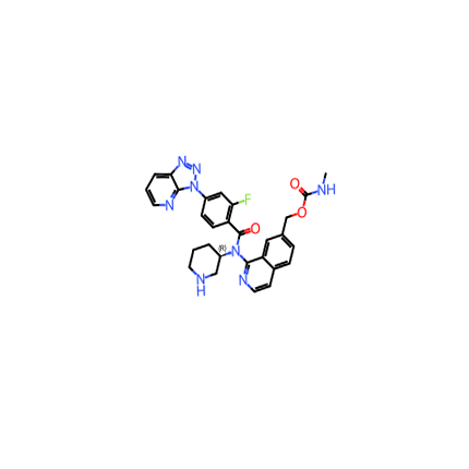 CNC(=O)OCc1ccc2ccnc(N(C(=O)c3ccc(-n4nnc5cccnc54)cc3F)[C@@H]3CCCNC3)c2c1